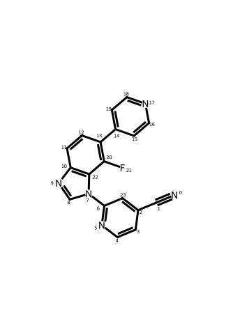 N#Cc1ccnc(-n2cnc3ccc(-c4ccncc4)c(F)c32)c1